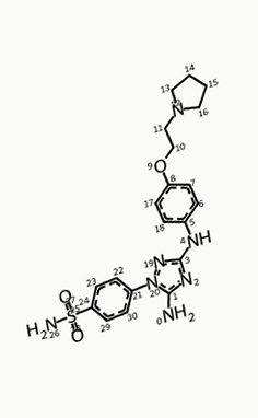 Nc1nc(Nc2ccc(OCCN3CCCC3)cc2)nn1-c1ccc(S(N)(=O)=O)cc1